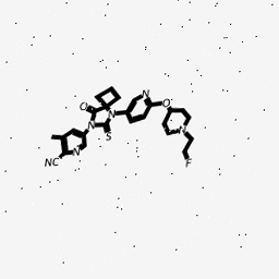 Cc1cc(N2C(=O)C3(CCC3)N(c3ccc(OC4CCN(CCF)CC4)nc3)C2=S)cnc1C#N